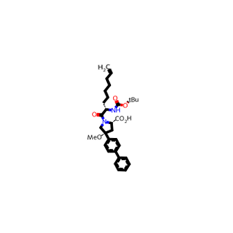 C=CCCCCC[C@H](NC(=O)OC(C)(C)C)C(=O)N1C[C@](OC)(c2ccc(-c3ccccc3)cc2)C[C@H]1C(=O)O